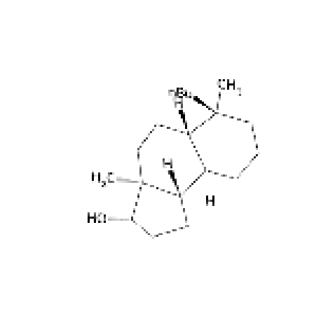 CCCC[C@@]1(C)CCC[C@@H]2[C@@H]1CC[C@]1(C)[C@@H](O)CC[C@@H]21